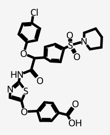 O=C(O)c1ccc(Oc2cnc(NC(=O)C(Oc3ccc(Cl)cc3)c3ccc(S(=O)(=O)N4CCCCC4)cc3)s2)cc1